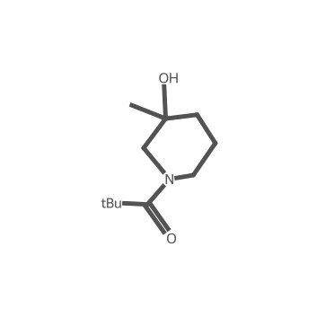 CC1(O)CCCN(C(=O)C(C)(C)C)C1